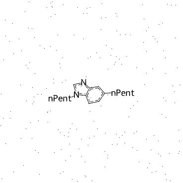 CCCCCc1ccc2c(c1)ncn2CCCCC